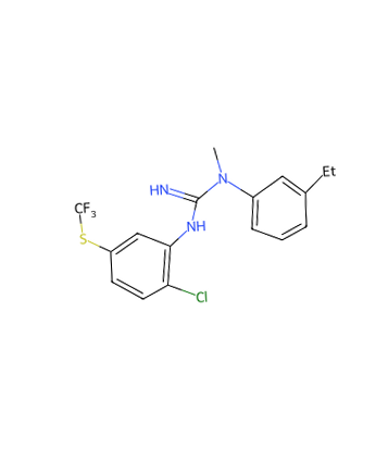 CCc1cccc(N(C)C(=N)Nc2cc(SC(F)(F)F)ccc2Cl)c1